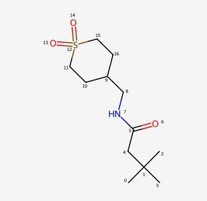 CC(C)(C)CC(=O)NCC1CCS(=O)(=O)CC1